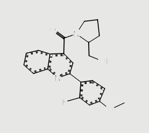 COc1ccc(-c2cc(C(=O)N3CCCC3CO)c3ccccc3n2)c(F)c1